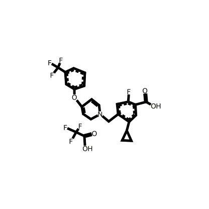 O=C(O)C(F)(F)F.O=C(O)c1cc(C2CC2)c(CN2C=CC(Oc3cccc(C(F)(F)F)c3)=CC2)cc1F